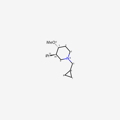 CO[C@@H]1CCN(CC2CC2)C[C@H]1C(C)C